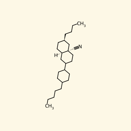 CCCCCC1CCC(C2CC[C@]3(C#N)C[C@H](CCCC)CC[C@@H]3C2)CC1